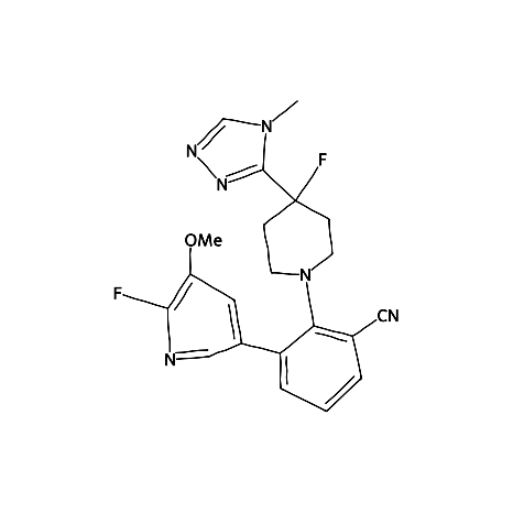 COc1cc(-c2cccc(C#N)c2N2CCC(F)(c3nncn3C)CC2)cnc1F